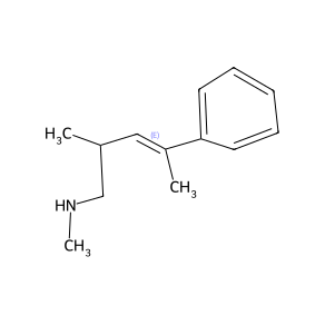 CNCC(C)/C=C(\C)c1ccccc1